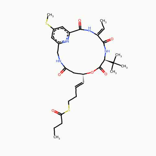 C/C=C1\NC(=O)c2cc(SC)cc(n2)CNC(=O)C[C@@H](/C=C/CCSC(=O)CCC)OC(=O)[C@H](C(C)(C)C)NC1=O